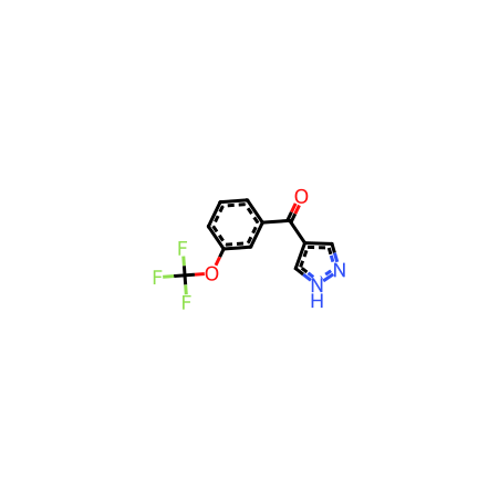 O=C(c1cn[nH]c1)c1cccc(OC(F)(F)F)c1